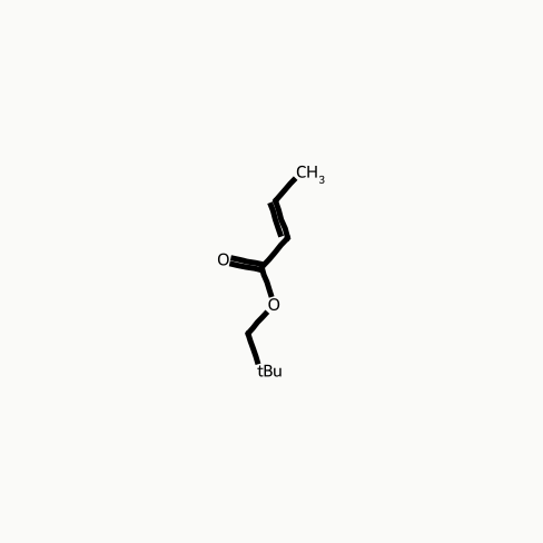 [CH2]C(C)(C)COC(=O)C=CC